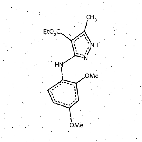 CCOC(=O)c1c(Nc2ccc(OC)cc2OC)n[nH]c1C